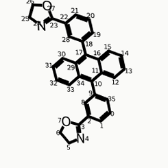 c1cc(C2=NCCO2)cc(-c2c3ccccc3c(-c3cccc(C4=NCCO4)c3)c3ccccc23)c1